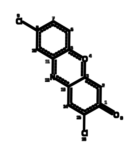 O=c1cc2oc3ccc(Cl)cc3nc-2cc1Cl